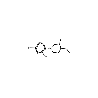 CCN1CCN(c2ncc(F)cc2F)C[C@H]1C